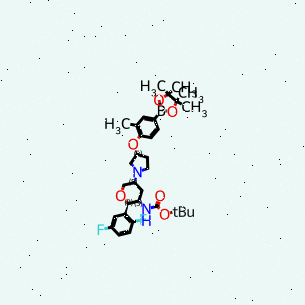 Cc1cc(B2OC(C)(C)C(C)(C)O2)ccc1O[C@@H]1CCN([C@@H]2CO[C@H](c3cc(F)ccc3F)[C@@H](NC(=O)OC(C)(C)C)C2)C1